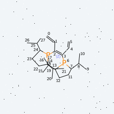 C=C/C(=C(\C=C)P1C(C(C)C)CCC1C(C)C)P1C(C(C)C)CCC1C(C)C